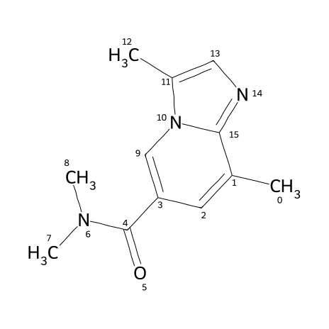 Cc1cc(C(=O)N(C)C)cn2c(C)cnc12